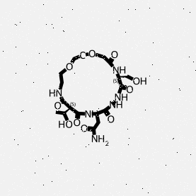 CC(O)[C@H]1C(=O)NCCOCCOCC(=O)N[C@@H](CO)C(=O)NNC(=O)C(CC(N)=O)NC1=O